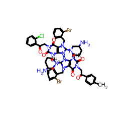 Cc1ccc(C(=O)Cn2c(=O)c3c(n(C)c2=O)N(N2c4c(c(=O)n(CC(=O)c5ccccc5Cl)c(=O)n4C)N(Cc4ccccc4Br)C2N2CCCC(N)C2)C(N2CCCC(N)C2)N3Cc2ccccc2Br)cc1